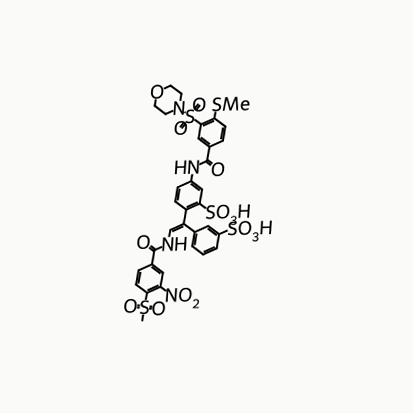 CSc1ccc(C(=O)Nc2ccc(/C(=C/NC(=O)c3ccc(S(C)(=O)=O)c([N+](=O)[O-])c3)c3cccc(S(=O)(=O)O)c3)c(S(=O)(=O)O)c2)cc1S(=O)(=O)N1CCOCC1